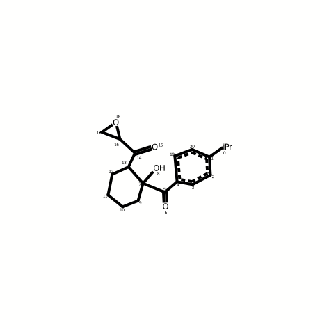 CC(C)c1ccc(C(=O)C2(O)CCCCC2C(=O)C2CO2)cc1